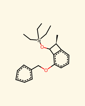 CC[Si](CC)(CC)OC1c2c(OCc3ccccc3)cccc2[C@@H]1C